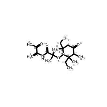 C=C(NC(=O)C(C)(C)ON1C(C)(CC)CC(=O)C(C)C1(C)CC)C(=O)O